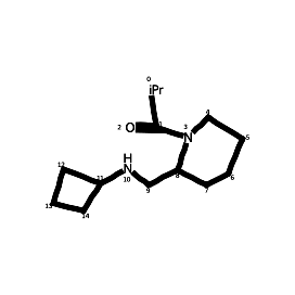 CC(C)C(=O)N1CCCCC1CNC1CCC1